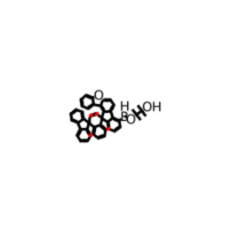 CC(C)(O)C(C)(C)OBc1cccc2c1-c1ccc3oc4ccccc4c3c1C21c2ccccc2C2(c3ccccc3-c3ccccc32)c2ccccc21